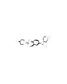 CN(c1ccc2nc(N3CCC(=O)CC3)ncc2c1)C1CCNCC1